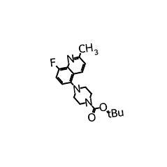 Cc1ccc2c(N3CCN(C(=O)OC(C)(C)C)CC3)ccc(F)c2n1